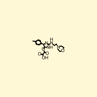 Cc1ccc(C2N=C(NCCN3CCOCC3)NC2OC(=O)C(=O)O)cc1